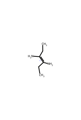 CC/C(N)=C(\N)CC